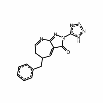 O=C1C2=CC(Cc3ccccc3)CC=NC2=NN1c1nnn[nH]1